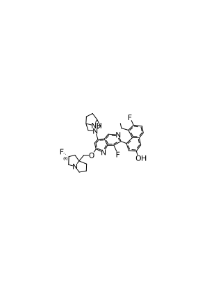 CCc1c(F)ccc2cc(O)cc(-c3ncc4c(N5CC6CCC(C5)N6)cc(OCC56CCCN5C[C@H](F)C6)nc4c3F)c12